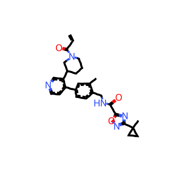 C=CC(=O)N1CCCC(c2cnccc2-c2ccc(CNC(=O)c3nc(C4(C)CC4)no3)c(C)c2)C1